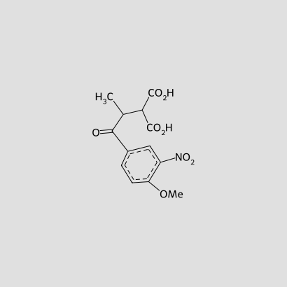 COc1ccc(C(=O)C(C)C(C(=O)O)C(=O)O)cc1[N+](=O)[O-]